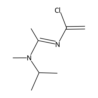 C=C(Cl)/N=C(\C)N(C)C(C)C